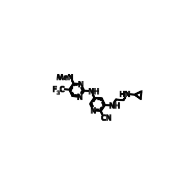 CNc1nc(Nc2cnc(C#N)c(NCCNC3CC3)c2)ncc1C(F)(F)F